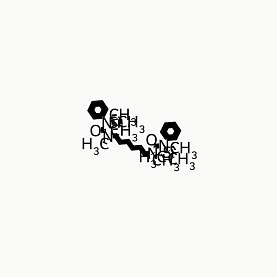 CN(CCCCCCN(C)C(=O)N(c1ccccc1)[Si](C)(C)C)C(=O)N(c1ccccc1)[Si](C)(C)C